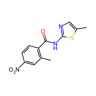 Cc1cnc(NC(=O)c2ccc([N+](=O)[O-])cc2C)s1